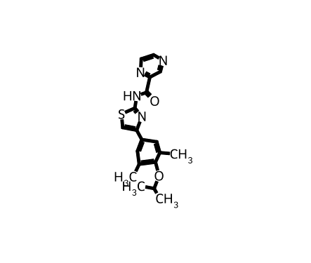 Cc1cc(-c2csc(NC(=O)c3cnccn3)n2)cc(C)c1OC(C)C